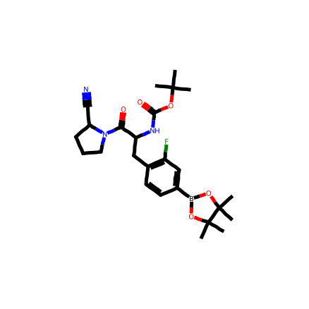 CC(C)(C)OC(=O)NC(Cc1ccc(B2OC(C)(C)C(C)(C)O2)cc1F)C(=O)N1CCCC1C#N